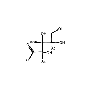 CC(=O)C(=O)[C@](O)(C(C)=O)[C@@](O)(C(C)=O)[C@](O)(CO)C(C)=O